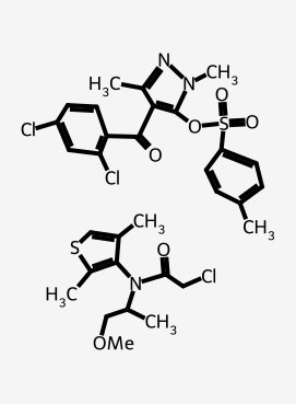 COCC(C)N(C(=O)CCl)c1c(C)csc1C.Cc1ccc(S(=O)(=O)Oc2c(C(=O)c3ccc(Cl)cc3Cl)c(C)nn2C)cc1